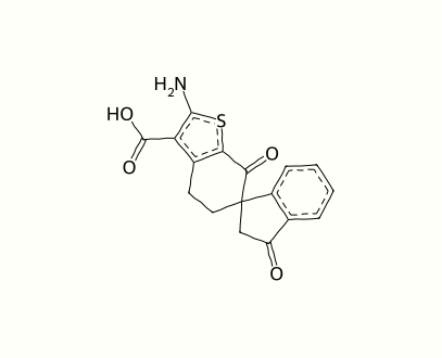 Nc1sc2c(c1C(=O)O)CCC1(CC(=O)c3ccccc31)C2=O